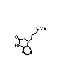 COCCCN1CC(=O)Nc2ccccc21